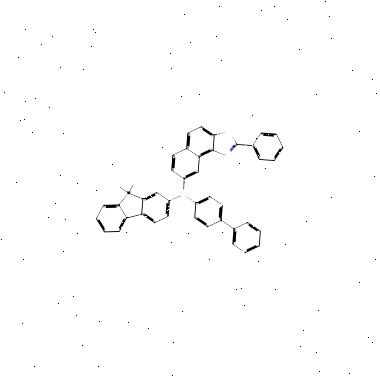 CC1(C)c2ccccc2-c2ccc(N(c3ccc(-c4ccccc4)cc3)c3ccc4ccc5sc(-c6ccccc6)nc5c4c3)cc21